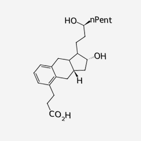 CCCCC[C@H](O)CCC1C2Cc3cccc(CCC(=O)O)c3C[C@H]2C[C@H]1O